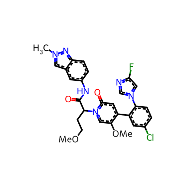 COCCC(C(=O)Nc1ccc2nn(C)cc2c1)n1cc(OC)c(-c2cc(Cl)ccc2-n2cnc(F)c2)cc1=O